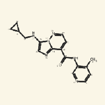 Cc1ccncc1NC(=O)c1ccnn2c(NCC3CC3)cnc12